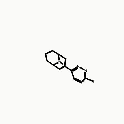 CN1C2CCCC1CC(c1ccc(I)nn1)C2